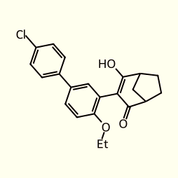 CCOc1ccc(-c2ccc(Cl)cc2)cc1C1=C(O)C2CCC(C2)C1=O